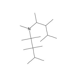 CC(C)C(C)C(C)N(C)C(C)(C)C(C)(C)C(C)C